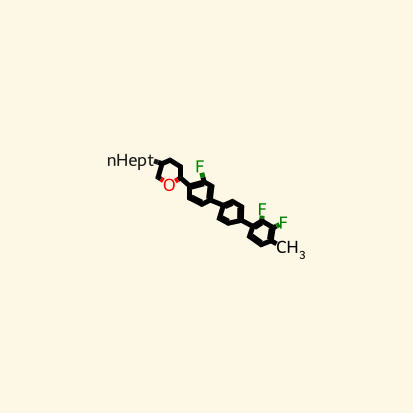 CCCCCCCC1CCC(c2ccc(-c3ccc(-c4ccc(C)c(F)c4F)cc3)cc2F)OC1